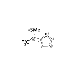 CS[C@H](c1cncs1)C(F)(F)F